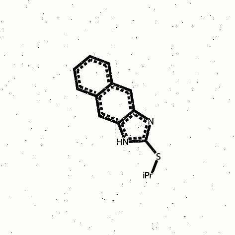 CC(C)Sc1nc2cc3ccccc3cc2[nH]1